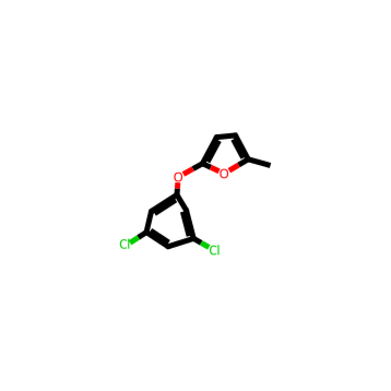 Cc1ccc(Oc2cc(Cl)cc(Cl)c2)o1